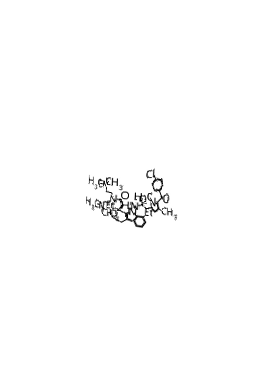 CCc1cccc2c3c(n(NC(=O)Cc4cc(C)c(C(=O)c5ccc(Cl)cc5)n4C)c12)C(CC)(CC(=O)N(CCN(C)C)CCN(C)C)OCC3